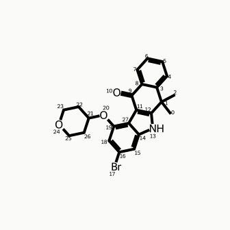 CC1(C)c2ccccc2C(=O)c2c1[nH]c1cc(Br)cc(OC3CCOCC3)c21